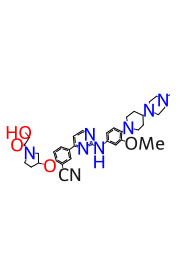 COc1cc(Nc2nccc(-c3ccc(OC4CCN(C(=O)CO)C4)c(C#N)c3)n2)ccc1N1CCC(N2CCN(C)CC2)CC1